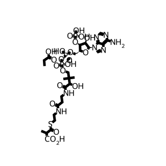 CC(C(=O)O)C(=O)SCCNC(=O)CCNC(=O)C(O)C(C)(C)COP(=O)(O)OP(=O)(O)OC[C@H]1O[C@@H](n2cnc3c(N)ncnc32)[C@H](O)[C@@H]1OP(=O)(O)O.CCC(=O)O